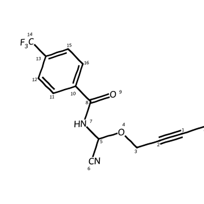 CC#CCOC(C#N)NC(=O)c1ccc(C(F)(F)F)cc1